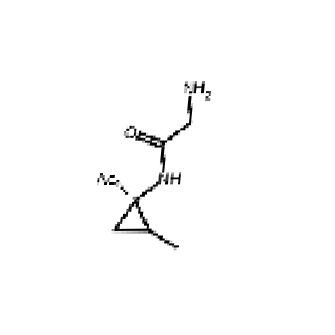 CC(=O)[C@@]1(NC(=O)CN)CC1C